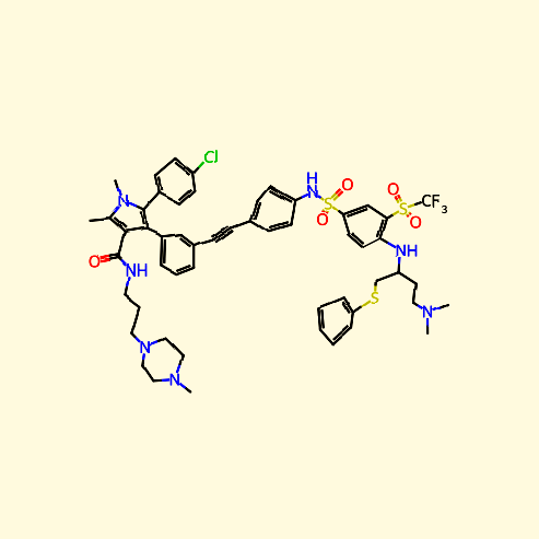 Cc1c(C(=O)NCCCN2CCN(C)CC2)c(-c2cccc(C#Cc3ccc(NS(=O)(=O)c4ccc(NC(CCN(C)C)CSc5ccccc5)c(S(=O)(=O)C(F)(F)F)c4)cc3)c2)c(-c2ccc(Cl)cc2)n1C